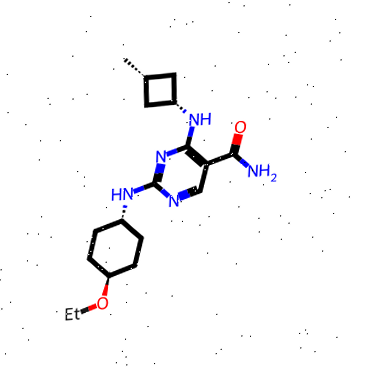 CCO[C@H]1CC[C@H](Nc2ncc(C(N)=O)c(N[C@H]3C[C@@H](C)C3)n2)CC1